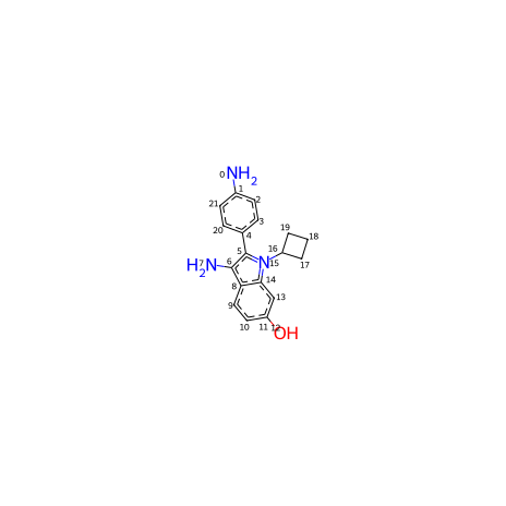 Nc1ccc(-c2c(N)c3ccc(O)cc3n2C2CCC2)cc1